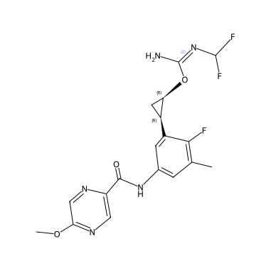 COc1cnc(C(=O)Nc2cc(C)c(F)c([C@H]3C[C@H]3O/C(N)=N\C(F)F)c2)cn1